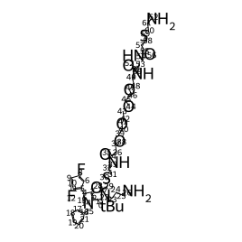 CC(C)(C)[C@H](c1cc(-c2cc(F)ccc2F)cn1Cc1ccccc1)N(CCCN)C(=O)CSCCNC(=O)CCOCCOCCOCCOCCNC(=O)CNC(=O)CCSCCN